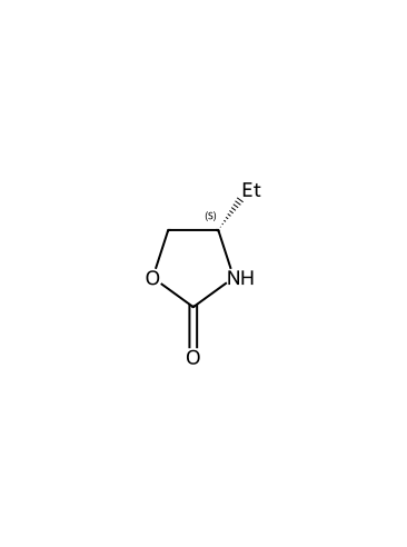 CC[C@H]1COC(=O)N1